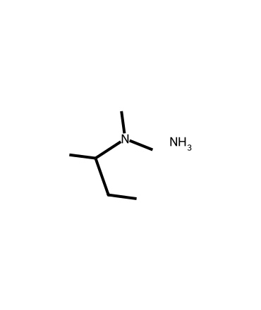 CCC(C)N(C)C.N